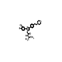 CC(C)NC(=O)Cn1cc(-c2ccc(CCN3CCOCC3)cc2)nc1-c1ccc(F)c(Cl)c1